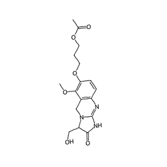 COc1c(OCCCOC(C)=O)ccc2c1CN1C(=N2)NC(=O)C1CO